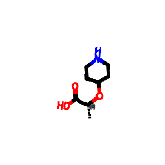 C[C@@H](OC1CCNCC1)C(=O)O